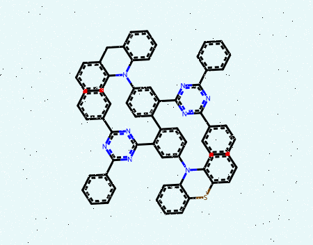 c1ccc(-c2nc(-c3ccccc3)nc(-c3cc(N4c5ccccc5Cc5ccccc54)ccc3-c3ccc(N4c5ccccc5Sc5ccccc54)cc3-c3nc(-c4ccccc4)nc(-c4ccccc4)n3)n2)cc1